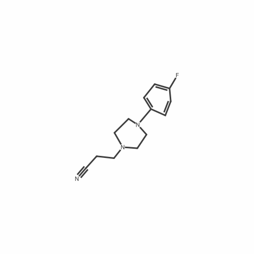 N#CCCN1CCN(c2ccc(F)cc2)CC1